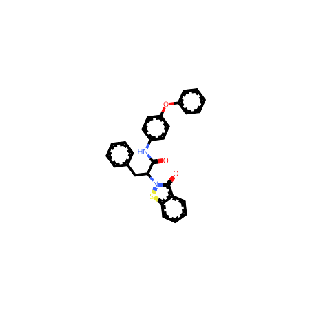 O=C(Nc1ccc(Oc2ccccc2)cc1)C(Cc1ccccc1)n1sc2ccccc2c1=O